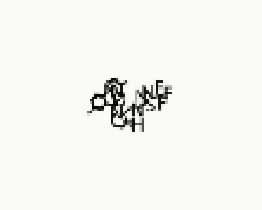 Cc1ccc(-n2ccc(C)n2)c(C(=O)N2CCC[C@@H](C)C2CNc2nnc(C(F)(F)F)s2)c1